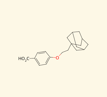 O=C(O)c1ccc(OCCC23CC4CC(CC(C4)C2)C3)cc1